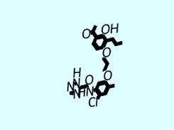 CCCc1c(OCCCOc2cc(NC(=O)c3ncn[nH]3)c(Cl)cc2C)ccc(C(C)=O)c1O